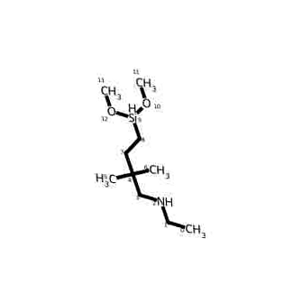 CCNCC(C)(C)CC[SiH](OC)OC